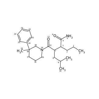 CCCC(C(N)=O)C(CC(C)C)C(=O)N1CCCC(C)(c2ccccc2)C1